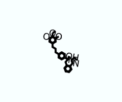 COc1cc(CCCc2ccc(C3(O)Cc4ccccc4C4=NCCN43)cc2)cc(OC)c1OC